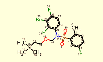 Cc1ccc(F)cc1S(=O)(=O)N(COCC[Si](C)(C)C)c1ccc(F)c(Br)c1F